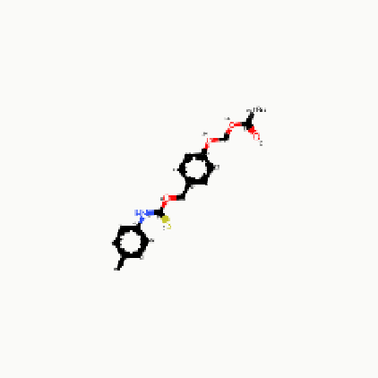 Cc1ccc(NC(=S)OCc2ccc(OCOC(=O)C(C)(C)C)cc2)cc1